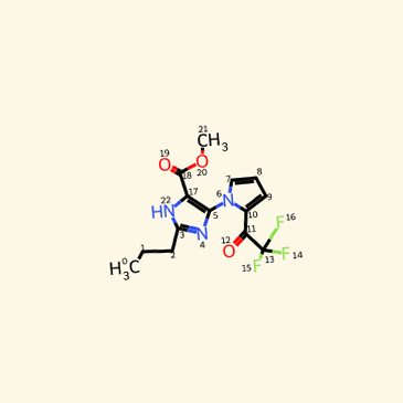 CCCc1nc(-n2cccc2C(=O)C(F)(F)F)c(C(=O)OC)[nH]1